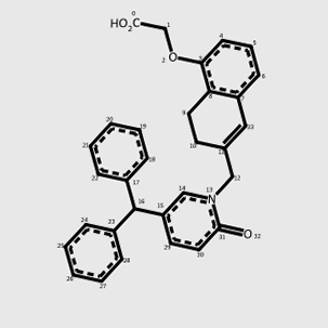 O=C(O)COc1cccc2c1CCC(Cn1cc(C(c3ccccc3)c3ccccc3)ccc1=O)=C2